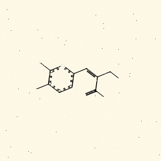 CCC(=Cc1ccc(Cl)c(Cl)n1)C(=O)O